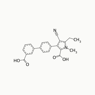 CCc1c(C#N)c(-c2ccc(-c3cccc(C(=O)O)c3)cc2)c(C(=O)O)n1C